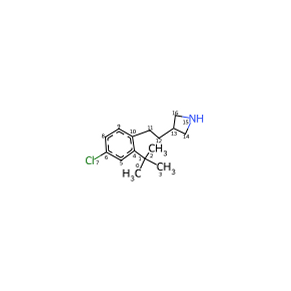 CC(C)(C)c1cc(Cl)ccc1CCC1CNC1